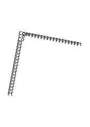 [Co].[Co].[Co].[Co].[Pt].[Pt].[Pt].[Pt].[Pt].[Pt].[Pt].[Pt].[Pt].[Pt].[Pt].[Pt].[Pt].[Pt].[Pt].[Pt].[Pt].[Pt].[Pt].[Pt].[Pt].[Pt].[Pt].[Pt].[Pt].[Pt].[Pt].[Pt].[Pt].[Pt].[Pt].[Pt].[Pt].[Pt].[Pt].[Pt]